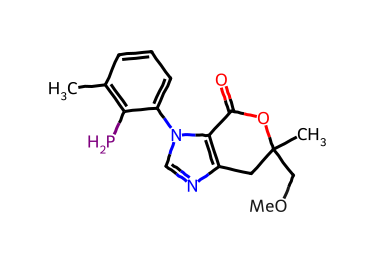 COCC1(C)Cc2ncn(-c3cccc(C)c3P)c2C(=O)O1